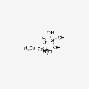 O.O[Si](O)(O)O.[CaH2].[CaH2].[NaH]